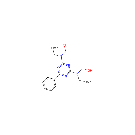 COCN(CO)c1nc(-c2ccccc2)nc(N(CO)COC)n1